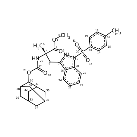 COC(=O)[C@](C)(Cc1nn(S(=O)(=O)c2ccc(C)cc2)c2ccccc12)NC(=O)OC1C2CC3CC(C2)CC1C3